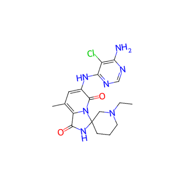 CCN1CCCC2(C1)NC(=O)c1c(C)cc(Nc3ncnc(N)c3Cl)c(=O)n12